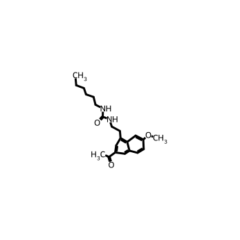 CCCCCCNC(=O)NCCc1cc(C(C)=O)cc2ccc(OC)cc12